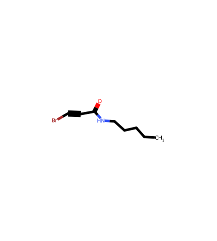 CCCCCNC(=O)C#CBr